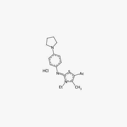 CCn1c(C)c(C(C)=O)s/c1=N\c1ccc(N2CCCC2)cc1.Cl